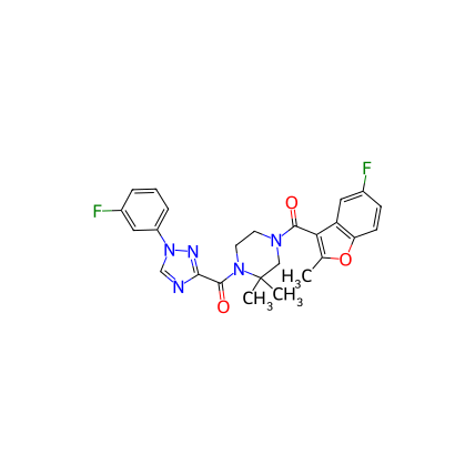 Cc1oc2ccc(F)cc2c1C(=O)N1CCN(C(=O)c2ncn(-c3cccc(F)c3)n2)C(C)(C)C1